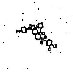 O=C(c1cscn1)[C@]12Cc3cnn(-c4ccc(F)cc4)c3C=C1CCN(S(=O)(=O)c1ccc(Cl)c(Cl)c1)C2